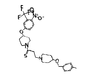 Cc1ccc(COC2CCN(CCC(=S)N3CCC(Oc4ccc([N+](=O)[O-])c(C(F)(F)F)c4)CC3)CC2)cc1